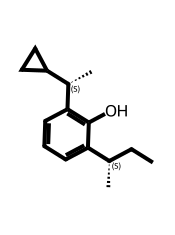 CC[C@H](C)c1cccc([C@@H](C)C2CC2)c1O